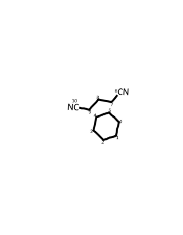 C1CCCCC1.N#CCCCC#N